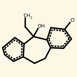 CCC1(O)c2ccccc2CCc2ccc(Cl)cc21